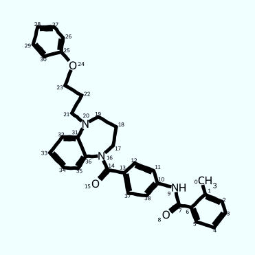 Cc1ccccc1C(=O)Nc1ccc(C(=O)N2CCCN(CCCOc3ccccc3)c3ccccc32)cc1